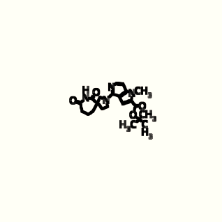 Cn1c(C(=O)OC(C)(C)C)cc2c(N3CCC4(CCCC(=O)NC4=O)C3)nccc21